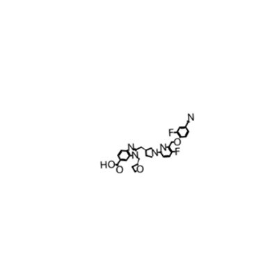 N#Cc1ccc(OCc2nc(N3CC[C@@H](Cc4nc5ccc(C(=O)O)cc5n4C[C@@H]4CCO4)C3)ccc2F)c(F)c1